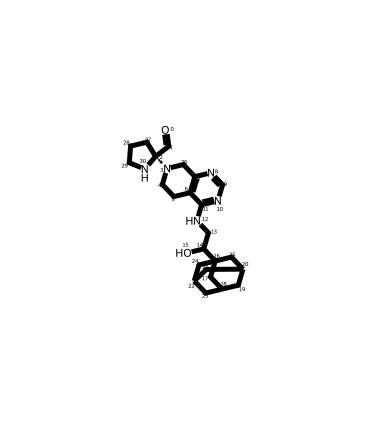 O=C[C@]1(N2CCc3c(ncnc3NCC(O)C34CC5CC(CC(C5)C3)C4)C2)CCCN1